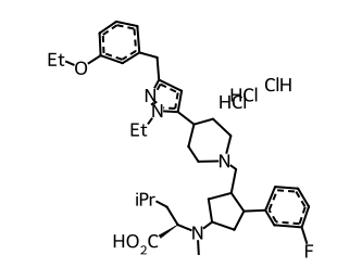 CCOc1cccc(Cc2cc(C3CCN(CC4CC(N(C)[C@H](CC(C)C)C(=O)O)CC4c4cccc(F)c4)CC3)n(CC)n2)c1.Cl.Cl.Cl